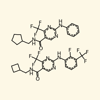 O=C(NCC1CCC1)c1cnc(Nc2cccc(C(F)(F)F)c2F)nc1C(F)(F)F.O=C(NCC1CCCC1)c1cnc(Nc2ccccc2)nc1C(F)(F)F